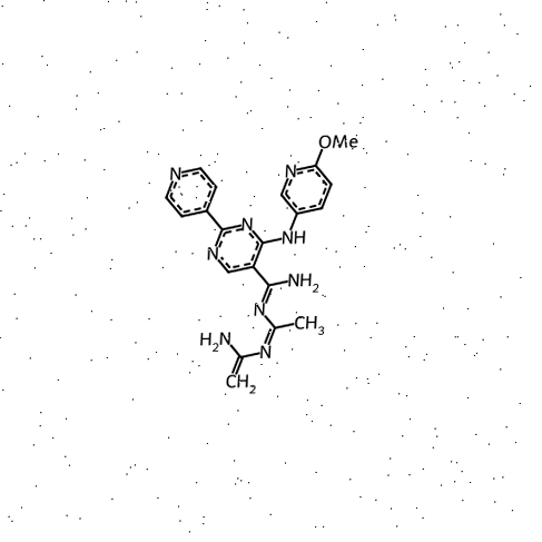 C=C(N)/N=C(C)\N=C(/N)c1cnc(-c2ccncc2)nc1Nc1ccc(OC)nc1